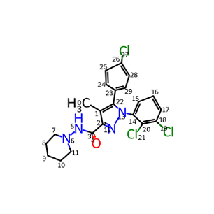 Cc1c(C(=O)NN2CCCCC2)nn(-c2cccc(Cl)c2Cl)c1-c1ccc(Cl)cc1